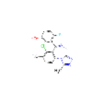 Cc1nnc2n1-c1ccc(C(F)(F)F)c(Cl)c1C(c1cc(O)ccc1F)=NC2